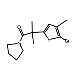 Cc1cc(C(C)(C)C(=O)N2CCCC2)sc1Br